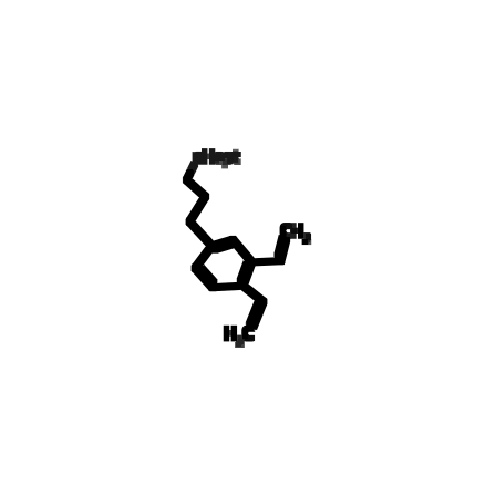 C=Cc1ccc(CCCCCCCCCC)cc1C=C